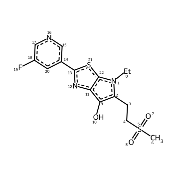 CCn1c(CCS(C)(=O)=O)c(O)c2nc(-c3cncc(F)c3)sc21